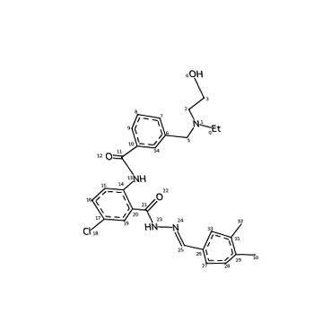 CCN(CCO)Cc1cccc(C(=O)Nc2ccc(Cl)cc2C(=O)NN=Cc2ccc(C)c(C)c2)c1